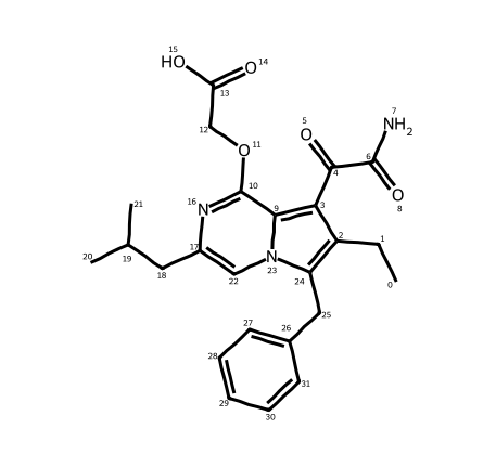 CCc1c(C(=O)C(N)=O)c2c(OCC(=O)O)nc(CC(C)C)cn2c1Cc1ccccc1